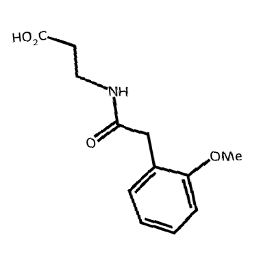 COc1ccccc1CC(=O)NCCC(=O)O